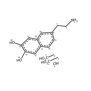 CC(=O)O.CC(=O)O.Cl.NCCc1ccc2cc(O)c(O)cc2c1